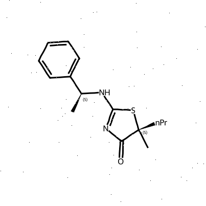 CCC[C@]1(C)SC(N[C@@H](C)c2ccccc2)=NC1=O